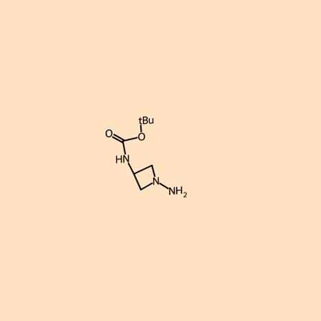 CC(C)(C)OC(=O)NC1CN(N)C1